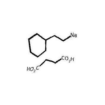 O=C(O)CCC(=O)O.[Na][CH2]CC1CCCCC1